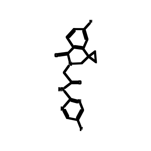 O=C(CN1CC2(CC2)c2cc(F)ccc2C1=O)Nc1ncc(F)cn1